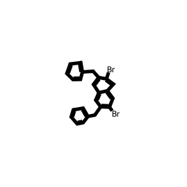 Brc1cc2cc(Br)c(Cc3ccccc3)cc2cc1Cc1ccccc1